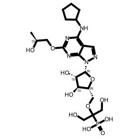 C[C@H](O)COc1nc(NC2CCCC2)c2cnn([C@@H]3O[C@H](COC(CO)(CO)P(=O)(O)O)[C@@H](O)[C@@H]3O)c2n1